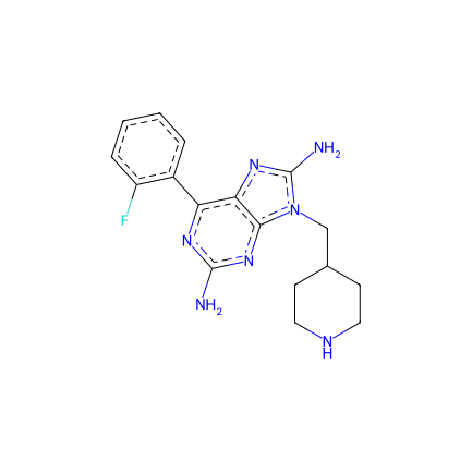 Nc1nc(-c2ccccc2F)c2nc(N)n(CC3CCNCC3)c2n1